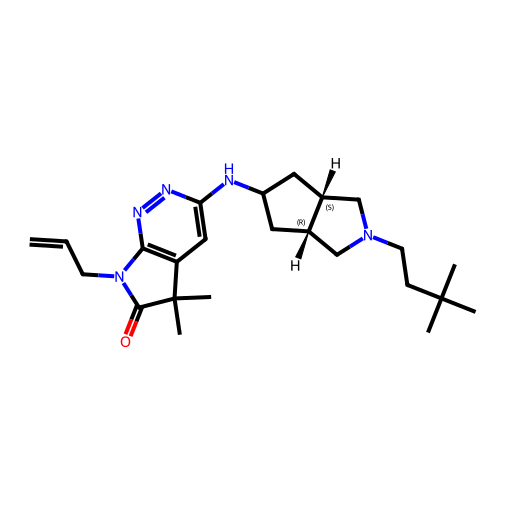 C=CCN1C(=O)C(C)(C)c2cc(NC3C[C@@H]4CN(CCC(C)(C)C)C[C@@H]4C3)nnc21